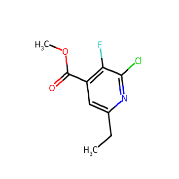 CCc1cc(C(=O)OC)c(F)c(Cl)n1